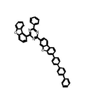 c1ccc(-c2ccc(-c3ccc(-c4ccc5c(c4)oc4cc(-c6nc(-c7ccccc7)nc(-c7cccc8oc9ccccc9c78)n6)ccc45)cc3)cc2)cc1